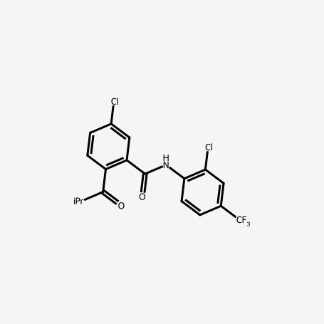 CC(C)C(=O)c1ccc(Cl)cc1C(=O)Nc1ccc(C(F)(F)F)cc1Cl